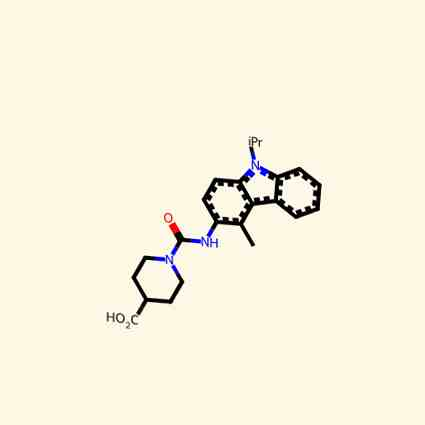 Cc1c(NC(=O)N2CCC(C(=O)O)CC2)ccc2c1c1ccccc1n2C(C)C